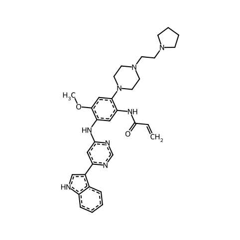 C=CC(=O)Nc1cc(Nc2cc(-c3c[nH]c4ccccc34)ncn2)c(OC)cc1N1CCN(CCN2CCCC2)CC1